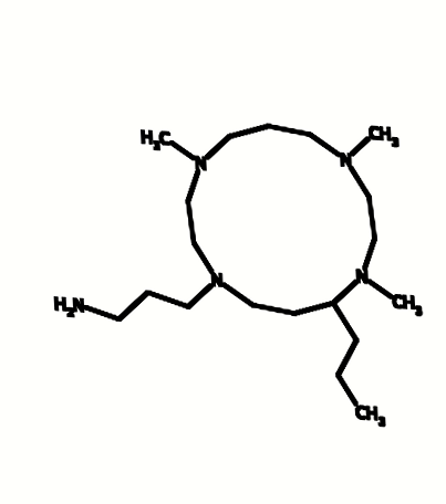 CCCC1CCN(CCCN)CCN(C)CCCN(C)CCN1C